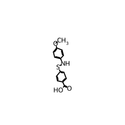 COc1ccc(NSc2ccc(C(=O)O)cc2)cc1